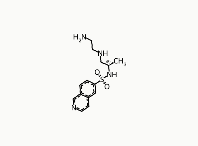 C[C@H](CNCCN)NS(=O)(=O)c1ccc2cnccc2c1